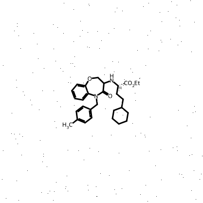 CCOC(=O)[C@H](CCC1CCCCC1)NC1COc2ccccc2N(Cc2ccc(C)cc2)C1=O